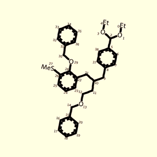 CCOC(OCC)c1ccc(CC(CCOCc2ccccc2)Cc2cccc(SC)c2OCc2ccccc2)cc1